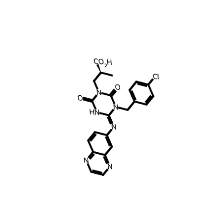 C[C@@H](Cn1c(=O)[nH]/c(=N\c2ccc3nccnc3c2)n(Cc2ccc(Cl)cc2)c1=O)C(=O)O